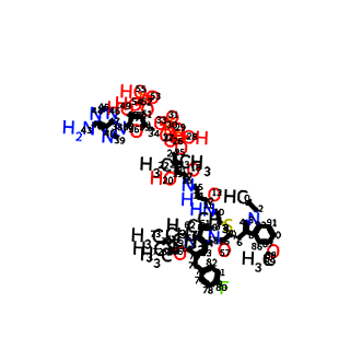 C#CCn1cc(C[C@H](SCCNC(=O)CCNC(=O)[C@H](O)C(C)(C)COP(=O)(O)OP(=O)(O)OC[C@H]2O[C@@H](n3cnc4c(N)ncnc43)[C@H](O)[C@@H]2OP(=O)(O)O)C(=O)N2CC(C)(C)c3nc(O[Si](C)(C)C(C)(C)C)c(Cc4ccc(F)cc4)cc32)c2cc(OC)ccc21